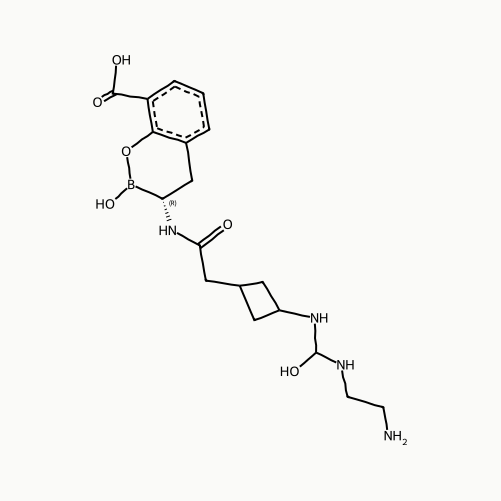 NCCNC(O)NC1CC(CC(=O)N[C@H]2Cc3cccc(C(=O)O)c3OB2O)C1